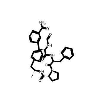 C[C@H](Cc1ccccc1)NC(=O)[C@H]1CCCN1C(=O)[C@H](Cc1ccccc1)NC(=O)[C@@H](Cc1cccc(C(N)=O)c1)NC=O